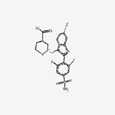 NS(=O)(=O)c1cc(F)c(-c2nc3cc(Cl)ccn3c2C[C@H]2CN(C(=O)O)CCO2)c(F)c1